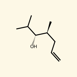 C=CC[C@H](C)[C@H](O)C(C)C